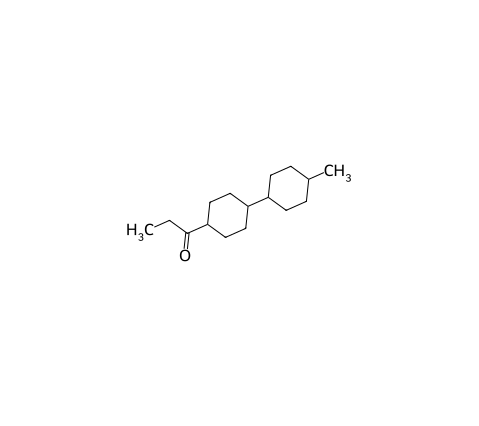 CCC(=O)C1CCC(C2CCC(C)CC2)CC1